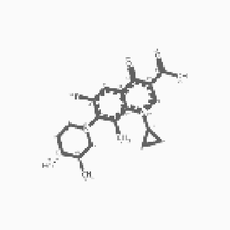 Cc1c(N2CC[C@@H](O)[C@H](C)C2)c(F)cc2c(=O)c(C(=O)O)cn(C3CC3)c12